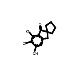 O=C1c2c(cc(O)c(Cl)c2Cl)CC12CCCC2